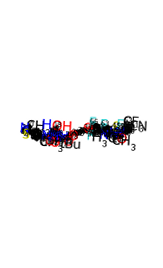 Cc1ncsc1-c1ccc([C@H](C)NC(=O)[C@@H]2C[C@@H](O)CN2C(=O)[C@@H](NC(=O)COCCCCOc2c(F)cc(-c3ncc(N4C(=S)N(c5ccc(C#N)c(C(F)(F)F)c5F)C(=O)C4(C)C)cc3F)cc2F)C(C)(C)C)cc1